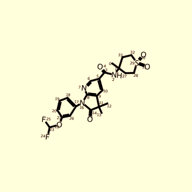 CC1(NC(=O)c2cnc3c(c2)C(C)(C)C(=O)N3c2cccc(OC(F)F)c2)CCS(=O)(=O)CC1